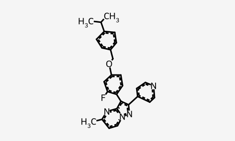 Cc1ccn2nc(-c3ccncc3)c(-c3ccc(OCc4ccc(C(C)C)cc4)cc3F)c2n1